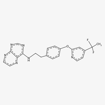 CC(F)(F)c1ccnc(Oc2ccc(CCNc3ncnc4nccnc34)cc2)c1